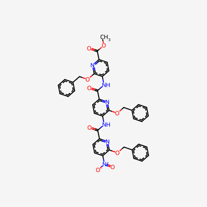 COC(=O)c1ccc(NC(=O)c2ccc(NC(=O)c3ccc([N+](=O)[O-])c(OCc4ccccc4)n3)c(OCc3ccccc3)n2)c(OCc2ccccc2)n1